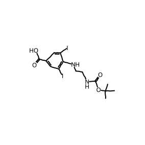 CC(C)(C)OC(=O)NCCNc1c(I)cc(C(=O)O)cc1I